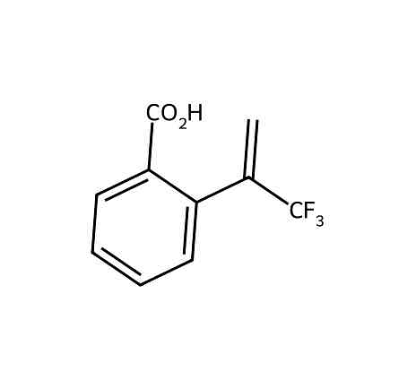 C=C(c1ccccc1C(=O)O)C(F)(F)F